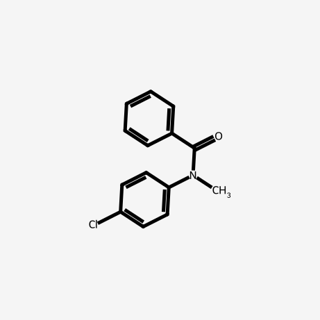 CN(C(=O)c1ccccc1)c1ccc(Cl)cc1